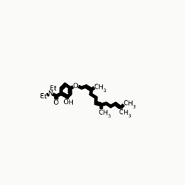 CCN(CC)C(=O)c1ccc(OCC=C(C)CCC=C(C)CCC=C(C)C)cc1O